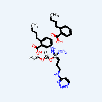 CCCCc1ccccc1C(=O)O.CCCCc1ccccc1C(=O)O.N[Si](N)(CCCNc1ccnnn1)O[SiH2]O[SiH3]